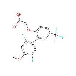 COc1cc(F)c(-c2cc(C(F)(F)F)ccc2OCC(=O)O)cc1F